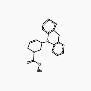 CC(C)(C)OC(=O)N1CC=CC(N2c3ccccc3Sc3ccccc32)C1